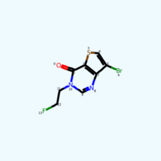 O=c1c2scc(Br)c2ncn1CCF